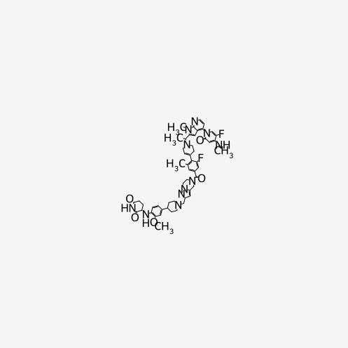 CNc1cc(=O)n(-c2ccnc3c2cc([C@H](C)N2CC=C(c4c(C)cc(C(=O)N5CCn6nc(CN7CCC(c8ccc(N[C@H]9CCC(=O)NC9=O)c(OC)c8)CC7)cc6C5)cc4F)CC2)n3C)cc1F